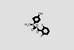 CN(C(=O)NC(=O)c1c(F)cccc1F)c1ccc(O)cc1